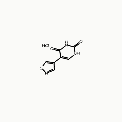 Cl.O=c1[nH]cc(-c2cnsc2)c(=O)[nH]1